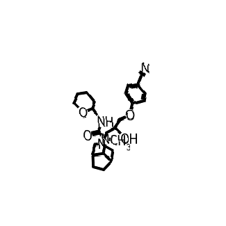 CN(C(=O)NC1CCCCO1)C1C2CCC1CN(CC(O)COc1ccc(C#N)cc1)C2